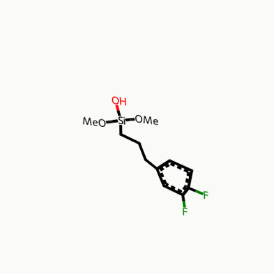 CO[Si](O)(CCCc1ccc(F)c(F)c1)OC